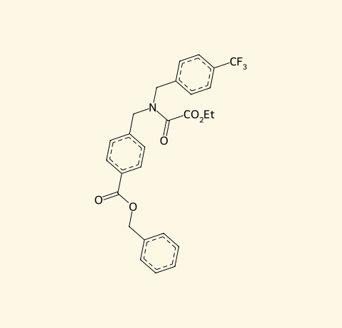 CCOC(=O)C(=O)N(Cc1ccc(C(=O)OCc2ccccc2)cc1)Cc1ccc(C(F)(F)F)cc1